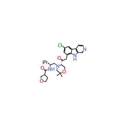 CC(C)[C@@H](CN1CC(C)(C)OC[C@H]1C(=O)Cc1cc(Cl)cc2c1[nH]c1cnccc12)NC(=O)C1CCOC1